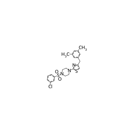 Cc1cc(C)cc(Cc2csc(N3CCN(S(=O)(=O)c4cccc(Cl)c4)CC3)n2)c1